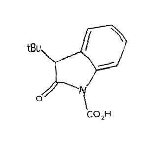 CC(C)(C)C1C(=O)N(C(=O)O)c2ccccc21